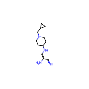 N=C/C(N)=C\NC1CCN(CC2CC2)CC1